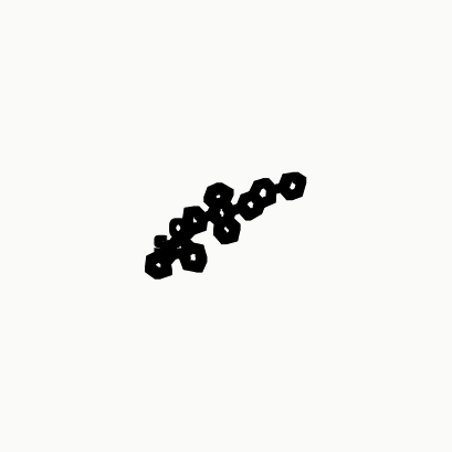 C1=CCCC(C2=CC3=CC=C(c4c5ccccc5c(-c5ccc6oc7c8sc9ccccc9c8c8ccccc8c7c6c5)c5ccccc45)CC3CC2)=C1